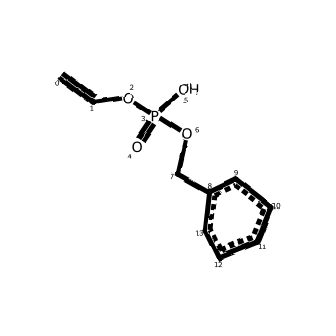 C=COP(=O)(O)OCc1ccccc1